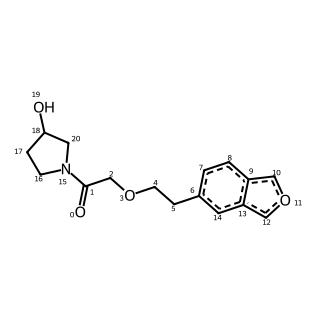 O=C(COCCc1ccc2cocc2c1)N1CCC(O)C1